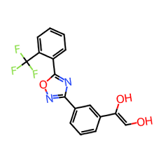 O/C=C(\O)c1cccc(-c2noc(-c3ccccc3C(F)(F)F)n2)c1